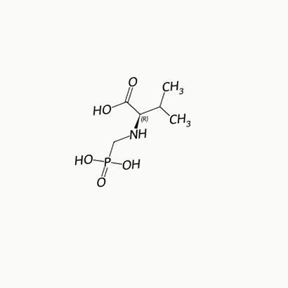 CC(C)[C@@H](NCP(=O)(O)O)C(=O)O